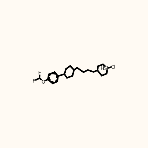 FC(F)Oc1ccc(C2CCC(CCCCC3CC[SiH](Cl)CC3)CC2)cc1